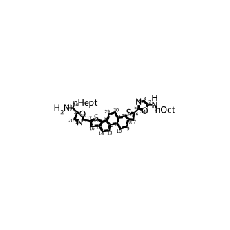 CCCCCCCCNc1cnc(-c2cc3ccc4c5ccc6cc(-c7ncc(C(N)CCCCCCC)o7)sc6c5ccc4c3s2)o1